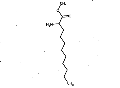 CCCCCCCCCC(N)C(=O)OC